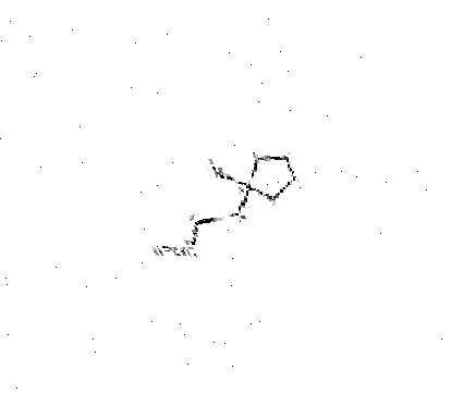 CCCCCCCC1([NH])CCCC1